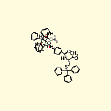 CC(=O)C(CSC(c1ccccc1)(c1ccccc1)c1ccccc1)NC(=O)c1ccc(COC(C(C)(C)C)(C(C)(C)C)C(c2ccccc2)(c2ccccc2)c2ccccc2)cc1